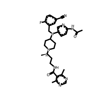 CC(=O)Nc1ccc(N(Cc2cc(C#N)ccc2F)C2CCN([C@H](C)CCNC(=O)c3c(C)ncnc3C)CC2)cn1